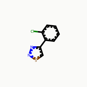 Clc1ccccc1-c1csnn1